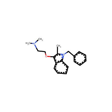 Cc1c(OCCN(C)C)c2ccccc2n1Cc1ccccc1